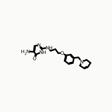 Nc1cnc(NCCCOc2cccc(CN3CC=CCC3)c2)[nH]c1=O